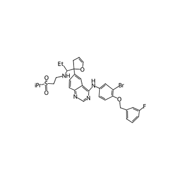 CCC(NCCS(=O)(=O)C(C)C)C1(c2ccc3ncnc(Nc4ccc(OCc5cccc(F)c5)c(Br)c4)c3c2)CC=CO1